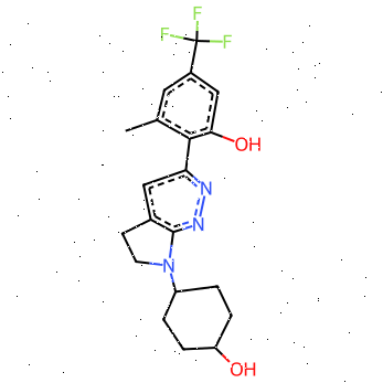 Cc1cc(C(F)(F)F)cc(O)c1-c1cc2c(nn1)N(C1CCC(O)CC1)CC2